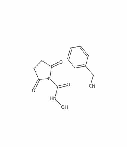 N#CCc1ccccc1.O=C1CCC(=O)N1C(=O)NO